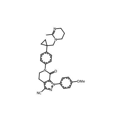 COc1ccc(-n2nc(C#N)c3c2C(=O)N(c2ccc(C4(CN5CCCN=C5C)CC4)cc2)CC3)cc1